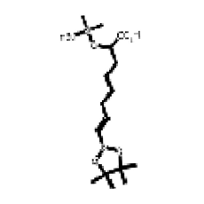 CCCC[Si](C)(C)OC(CCCCC=CB1OC(C)(C)C(C)(C)O1)C(=O)O